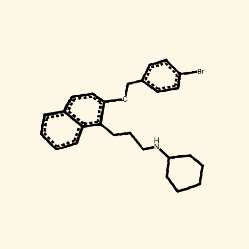 Brc1ccc(COc2ccc3ccccc3c2CCCNC2CCCCC2)cc1